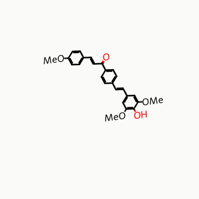 COc1ccc(/C=C/C(=O)c2ccc(/C=C/c3cc(OC)c(O)c(OC)c3)cc2)cc1